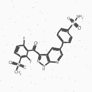 CS(=O)(=O)c1ccc(F)c(C(=O)c2n[nH]c3ncc(-c4ccc(S(N)(=O)=O)cc4)cc23)c1F